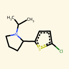 CC(C)N1CCCC1c1ccc(Cl)s1